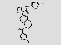 CCn1cc(C(=O)N2CCCc3cc(C4(C(=O)Nc5ccc(F)cc5)CCC4)ccc32)cn1